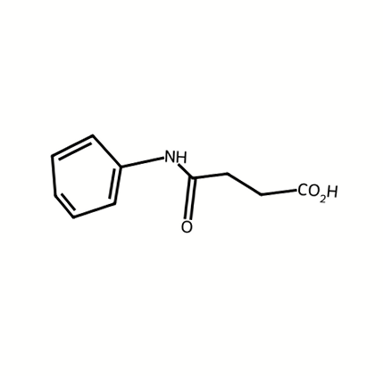 O=C(O)CCC(=O)Nc1ccccc1